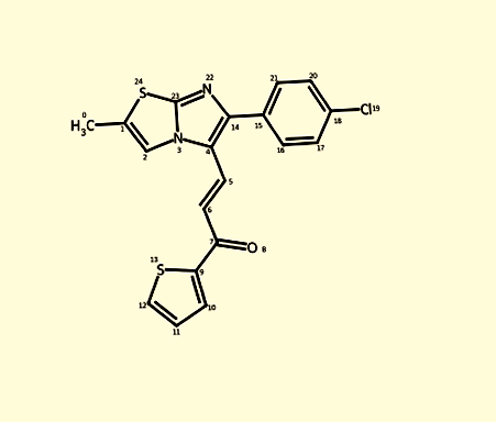 Cc1cn2c(/C=C/C(=O)c3cccs3)c(-c3ccc(Cl)cc3)nc2s1